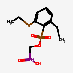 CCSc1cccc(CC)c1S(=O)(=O)OC[PH](=O)O